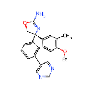 CCOc1ccc([C@@]2(c3cccc(-c4cncnc4)c3)COC(N)=N2)cc1C